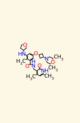 Cc1cc(C)c(CNC(=O)c2cc(O[C@H]3C[C@H](N4C[C@@H](C)O[C@@H](C)C4)C3)cc(NC3CCOC3)c2C)c(=O)[nH]1